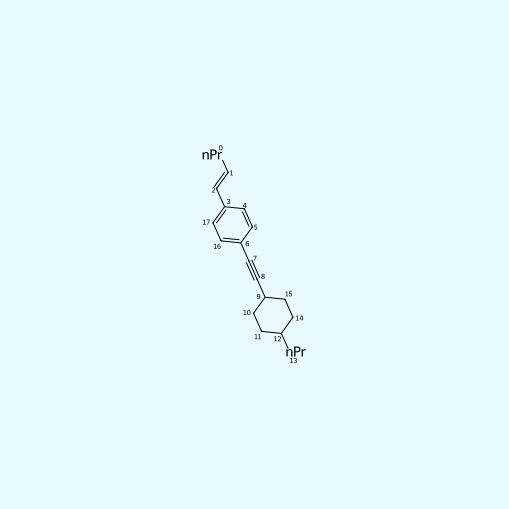 CCCC=Cc1ccc(C#CC2CCC(CCC)CC2)cc1